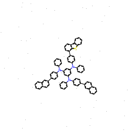 c1ccc(N(c2ccc(-c3ccc4ccccc4c3)cc2)c2cc(N(c3ccccc3)c3ccc(-c4ccc5ccccc5c4)cc3)cc(N(c3ccccc3)c3ccc(-c4cccc5c4sc4ccccc45)cc3)c2)cc1